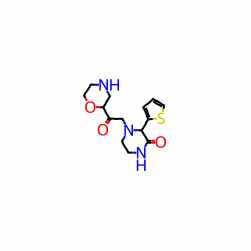 O=C(CN1CCNC(=O)C1c1cccs1)C1CNCCO1